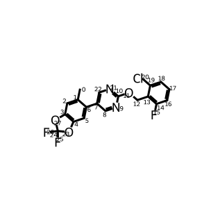 Cc1cc2c(cc1-c1cnc(OCc3c(F)cccc3Cl)nc1)OC(F)(F)O2